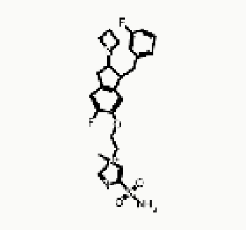 C[N+]1(CCOc2cc3c(cc2F)CC(N2CCC2)C3Cc2cccc(F)c2)C=NC(S(N)(=O)=O)=C1